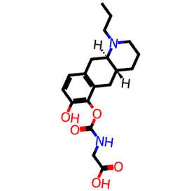 CCCN1CCC[C@@H]2Cc3c(ccc(O)c3OC(=O)NCC(=O)O)C[C@H]21